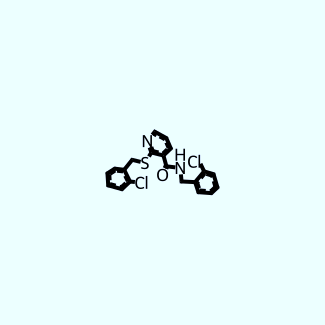 O=C(NCc1ccccc1Cl)c1cccnc1SCc1ccccc1Cl